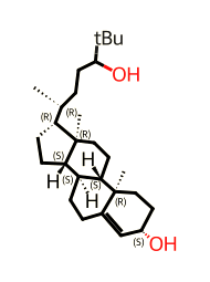 C[C@H](CCC(O)C(C)(C)C)[C@H]1CC[C@H]2[C@@H]3CCC4=C[C@@H](O)CC[C@]4(C)[C@H]3CC[C@]12C